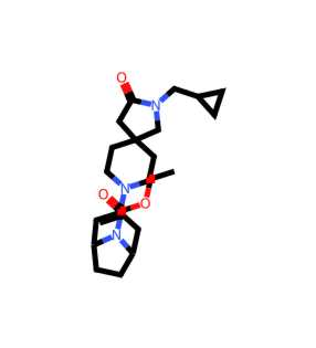 CCOC(=O)N1C2C=C(N3CCC4(CC3)CC(=O)N(CC3CC3)C4)CC1CC2